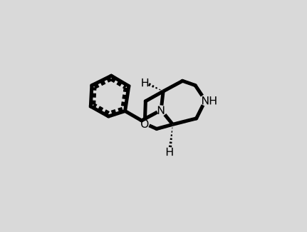 c1ccc(CN2[C@@H]3CCNC[C@H]2COC3)cc1